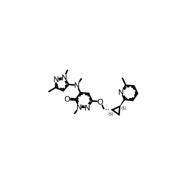 Cc1cccc([C@H]2C[C@@H]2COc2cc(N(C)c3cc(C)nn3C)c(=O)n(C)n2)n1